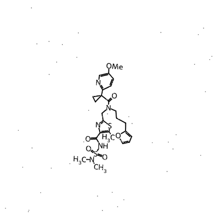 COc1ccc(C2(C(=O)N(CCCc3ccco3)Cc3nc(C(=O)NS(=O)(=O)N(C)C)c(C)s3)CC2)nc1